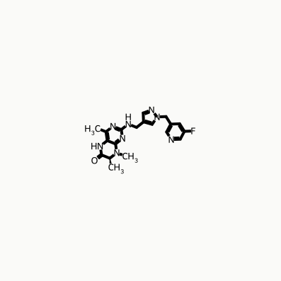 Cc1nc(NCc2cnn(Cc3cncc(F)c3)c2)nc2c1NC(=O)[C@H](C)N2C